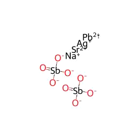 [Ag+].[Na+].[O]=[Sb]([O-])([O-])[O-].[O]=[Sb]([O-])([O-])[O-].[Pb+2].[Sr+2]